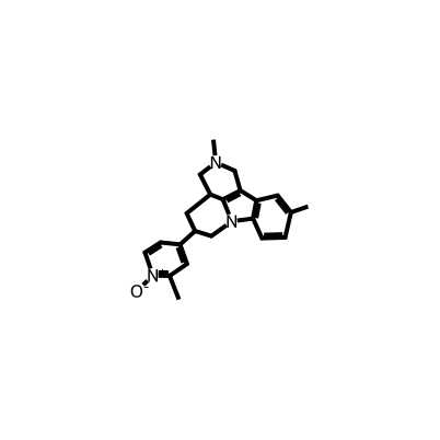 Cc1ccc2c(c1)c1c3n2CC(c2cc[n+]([O-])c(C)c2)CC3CN(C)C1